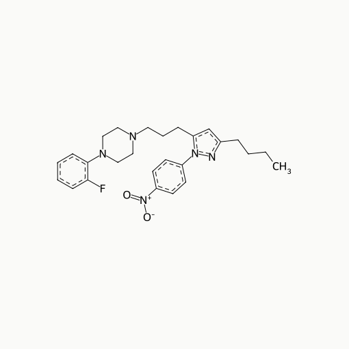 CCCCc1cc(CCCN2CCN(c3ccccc3F)CC2)n(-c2ccc([N+](=O)[O-])cc2)n1